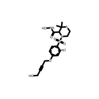 CC1(C)SCCN(S(=O)(=O)c2ccc(OCC#CCO)cc2)C1C(=O)NO.Cl